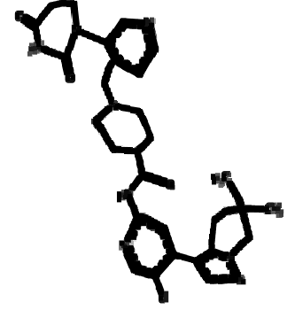 CC1(C)Cc2c(-c3cc(NC(=O)C4CCN(Cc5ccncc5N5CCC(=O)NC5=O)CC4)ncc3Cl)cnn2C1